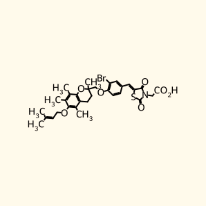 CC(C)=CCOc1c(C)c(C)c2c(c1C)CCC(C)(COc1ccc(/C=C3\SC(=O)N(CC(=O)O)C3=O)cc1Br)O2